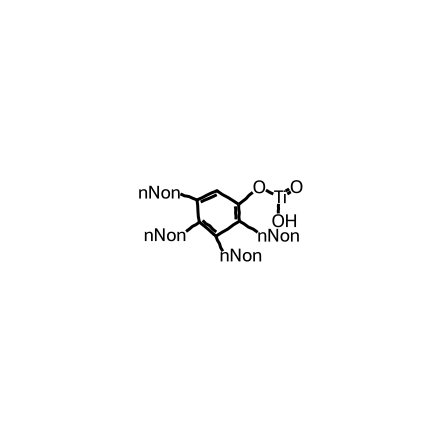 CCCCCCCCCc1cc([O][Ti](=[O])[OH])c(CCCCCCCCC)c(CCCCCCCCC)c1CCCCCCCCC